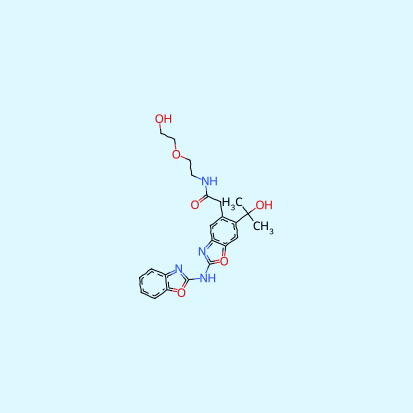 CC(C)(O)c1cc2oc(Nc3nc4ccccc4o3)nc2cc1CC(=O)NCCOCCO